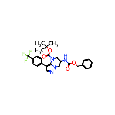 CC(C)(C)OC(=O)N1CC(NC(=O)OCc2ccccc2)Cn2ncc(-c3ccc(C(F)(F)F)cc3)c21